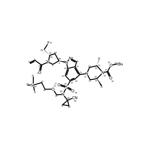 C=CC(=O)N1C[C@H](n2ncc3c(N4C[C@H](C)N(C(=O)OC(C)(C)C)[C@@H](C)C4)cc(S(=O)(=O)N(COCC[Si](C)(C)C)C4(C#N)CC4)cc32)C[C@H]1CF